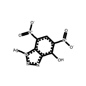 O=[N+]([O-])c1cc([N+](=O)[O-])c2c(nn[n]2[Ag])c1O